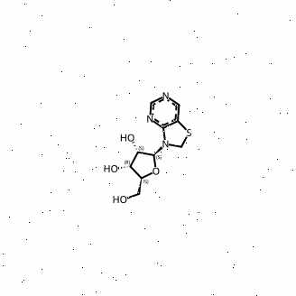 OC[C@@H]1O[C@H](N2CSc3cncnc32)[C@@H](O)[C@H]1O